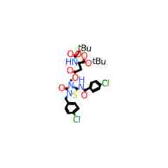 CC(C)(C)OC(=O)NC(CC(=O)OCN1C(=O)N(Cc2ccc(Cl)cc2)SC1NC(=O)c1ccc(Cl)cc1)C(=O)OC(C)(C)C